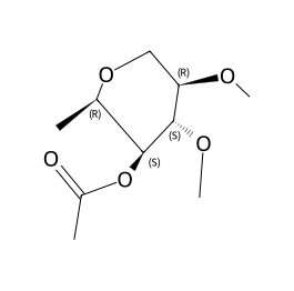 CO[C@@H]1[C@@H](OC(C)=O)[C@@H](C)OC[C@H]1OC